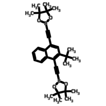 CC(C)(C)c1cc(C#CB2OC(C)(C)C(C)(C)O2)c2ccccc2c1C#CB1OC(C)(C)C(C)(C)O1